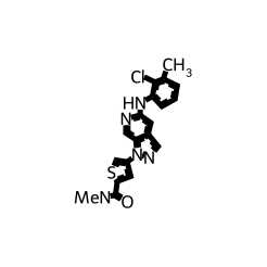 CNC(=O)c1cc(-n2ncc3cc(Nc4cccc(C)c4Cl)ncc32)cs1